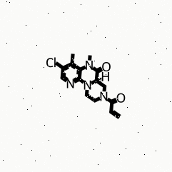 C=CC(=O)N1CCN2c3ncc(Cl)c(C)c3N(C)C(=O)[C@H]2C1